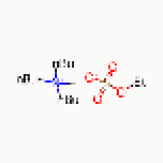 CCCC[N+](C)(CCCC)CCCC.CCOS(=O)(=O)[O-]